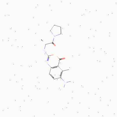 Cc1c(N(C(=O)O)C(C)(C)C)ccc2nc(N[C@@H](C)C(=O)N3CCCC3)oc(=O)c12